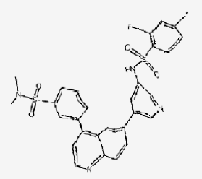 CN(C)S(=O)(=O)c1cccc(-c2ccnc3ccc(-c4cncc(NS(=O)(=O)c5ccc(F)cc5F)c4)cc23)c1